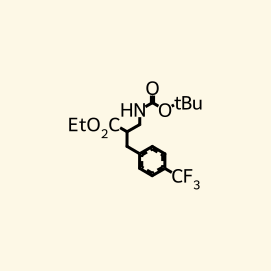 CCOC(=O)C(CNC(=O)OC(C)(C)C)Cc1ccc(C(F)(F)F)cc1